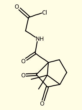 CC1(C)C2CCC1(C(=O)NCC(=O)Cl)C(=O)C2=O